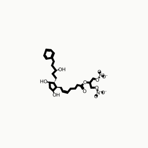 O=C(CCC/C=C\C[C@@H]1[C@@H](CC[C@@H](O)CCc2ccccc2)[C@H](O)C[C@@H]1O)OC(CO[N+](=O)[O-])CO[N+](=O)[O-]